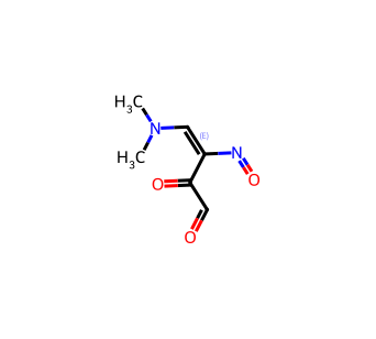 CN(C)/C=C(/N=O)C(=O)C=O